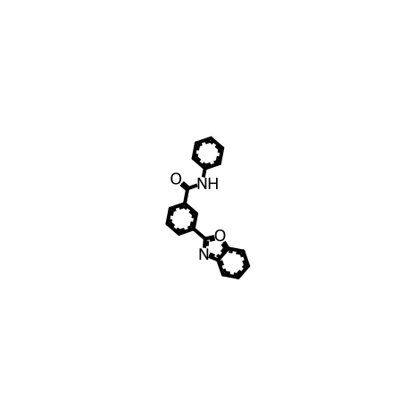 O=C(Nc1ccccc1)c1cccc(-c2nc3ccccc3o2)c1